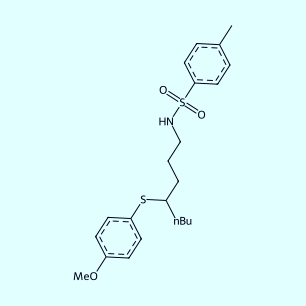 CCCCC(CCCNS(=O)(=O)c1ccc(C)cc1)Sc1ccc(OC)cc1